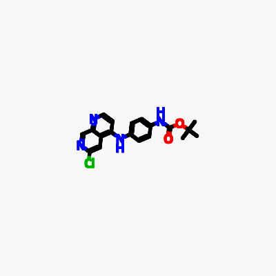 CC(C)(C)OC(=O)Nc1ccc(Nc2ccnc3cnc(Cl)cc23)cc1